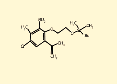 C=C(C)c1cc(Cl)c(C)c([N+](=O)[O-])c1OCCO[Si](C)(C)C(C)(C)C